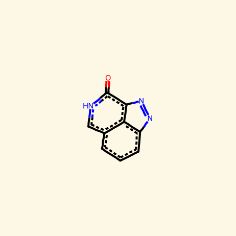 O=c1[nH]cc2cccc3c2c1N=N3